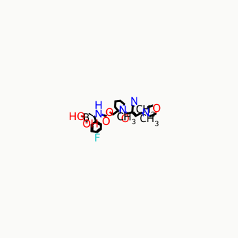 CC(C)(C=C(C#N)C(=O)N1CCCC[C@]1(C)COC(=O)N[C@H](CB(O)O)c1ccc(F)cc1)N1CCOCC1